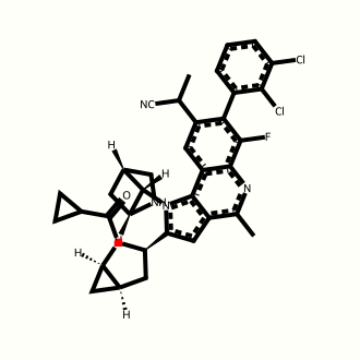 Cc1nc2c(F)c(-c3cccc(Cl)c3Cl)c(C(C)C#N)cc2c2c1cc([C@H]1C[C@H]3C[C@H]3N1C(=O)C1CC1)n2[C@H]1[C@H]2CN[C@@H]1C2